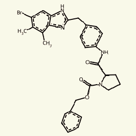 Cc1c(Br)cc2[nH]c(Cc3ccc(NC(=O)C4CCCN4C(=O)OCc4ccccc4)cc3)nc2c1C